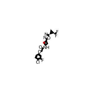 O=C(COc1ccc(Cl)c(F)c1)NC12CC(c3nnc([C@@H]4C[C@H]4C(F)F)o3)(C1)C2